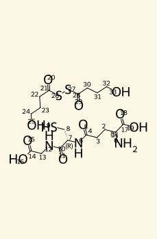 N[C@@H](CCC(=O)N[C@@H](CS)C(=O)NCC(=O)O)C(=O)O.O=C(CCCO)SSC(=O)CCCO